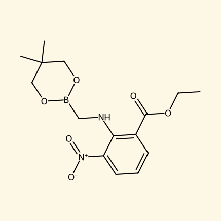 CCOC(=O)c1cccc([N+](=O)[O-])c1NCB1OCC(C)(C)CO1